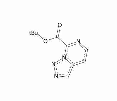 CC(C)(C)OC(=O)c1nccc2cnnn12